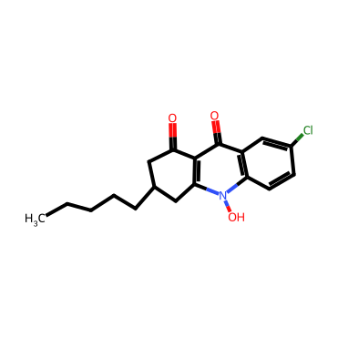 CCCCCC1CC(=O)c2c(n(O)c3ccc(Cl)cc3c2=O)C1